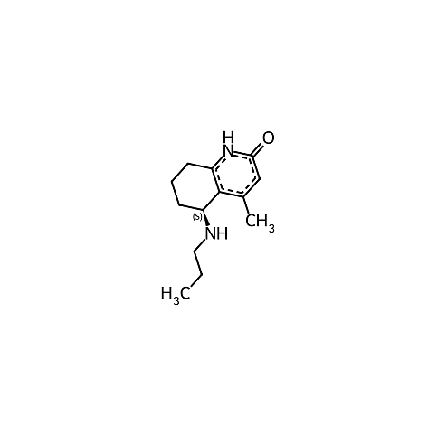 CCCN[C@H]1CCCc2[nH]c(=O)cc(C)c21